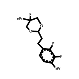 CCCc1ccc(CCC2OCC(F)(CCC)CO2)c(F)c1F